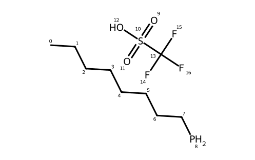 CCCCCCCCP.O=S(=O)(O)C(F)(F)F